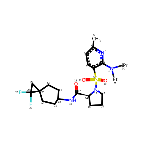 CCN(c1nc(C)ccc1S(=O)(=O)N1CCC[C@H]1C(=O)NC1CCC2(CC1)CC2(F)F)C(C)C